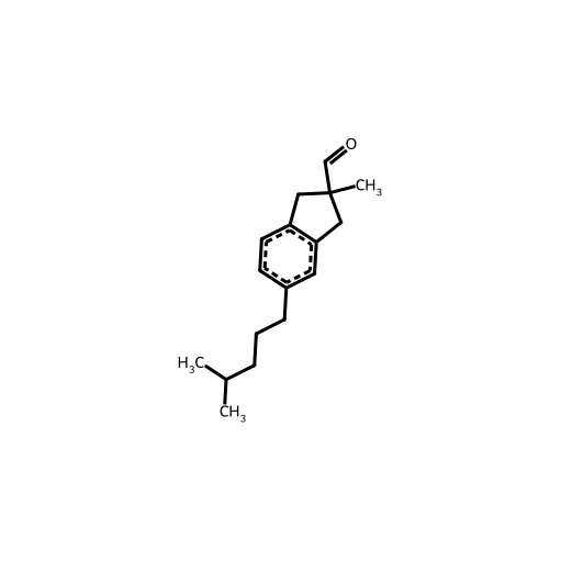 CC(C)CCCc1ccc2c(c1)CC(C)(C=O)C2